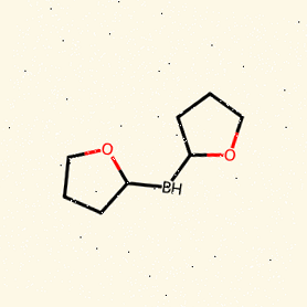 B(C1CCCO1)C1CCCO1